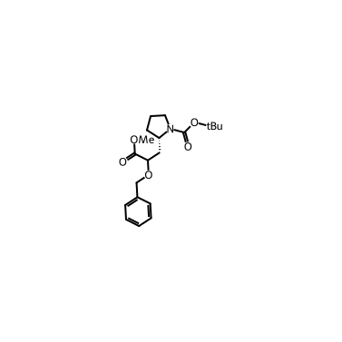 COC(=O)C(C[C@@H]1CCCN1C(=O)OC(C)(C)C)OCc1ccccc1